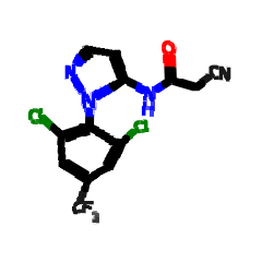 N#CCC(=O)Nc1ccnn1-c1c(Cl)cc(C(F)(F)F)cc1Cl